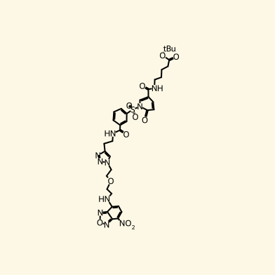 CC(C)(C)OC(=O)CCCCNC(=O)c1ccc(=O)n(S(=O)(=O)c2cccc(C(=O)NCCc3cn(CCOCCNc4ccc([N+](=O)[O-])c5nonc45)nn3)c2)c1